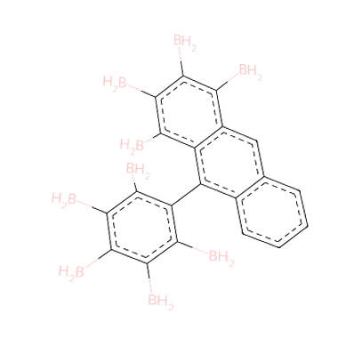 Bc1c(B)c(B)c(-c2c3ccccc3cc3c(B)c(B)c(B)c(B)c23)c(B)c1B